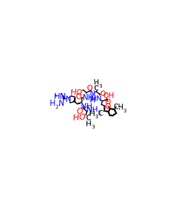 Cc1c(CC(NC(=O)C(C)NC(=O)C(CO)NC(=O)C(CC2=CCN(C(=N)N)C2)NC(=O)C(N)C(C)O)C(=O)O)oc2c(C)cccc12